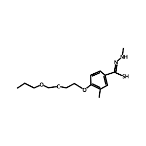 CCCOCCCCOc1ccc(/C(S)=N/NC)cc1C